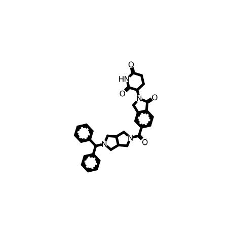 O=C1CCC(N2Cc3cc(C(=O)N4CC5CN(C(c6ccccc6)c6ccccc6)CC5C4)ccc3C2=O)C(=O)N1